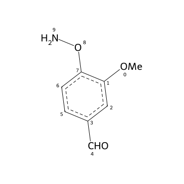 COc1cc(C=O)ccc1ON